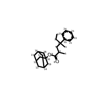 CCC(C)(CC(C)C(=O)OC12CC3CC(CC(C3)C1)C2)c1ccccc1